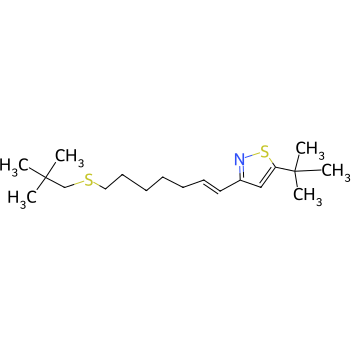 CC(C)(C)CSCCCCC/C=C/c1cc(C(C)(C)C)sn1